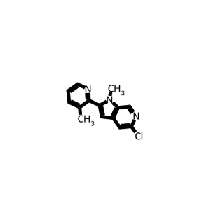 Cc1cccnc1-c1cc2cc(Cl)ncc2n1C